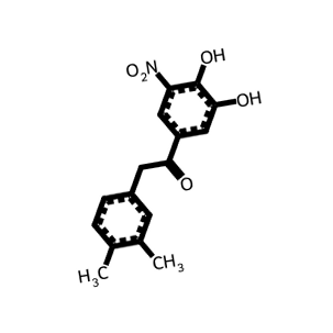 Cc1ccc(CC(=O)c2cc(O)c(O)c([N+](=O)[O-])c2)cc1C